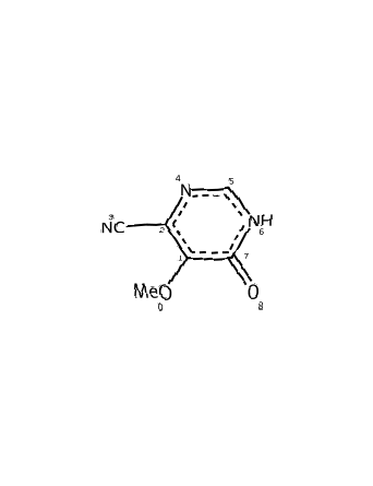 COc1c(C#N)nc[nH]c1=O